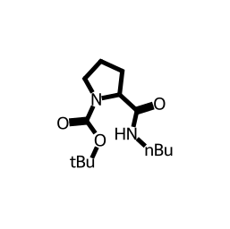 CCCCNC(=O)C1CCCN1C(=O)OC(C)(C)C